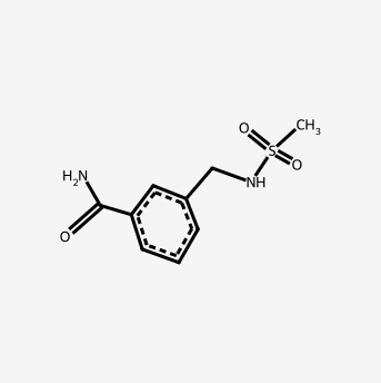 CS(=O)(=O)NCc1cccc(C(N)=O)c1